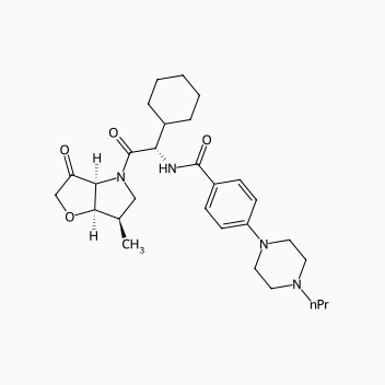 CCCN1CCN(c2ccc(C(=O)N[C@H](C(=O)N3C[C@@H](C)[C@H]4OCC(=O)[C@H]43)C3CCCCC3)cc2)CC1